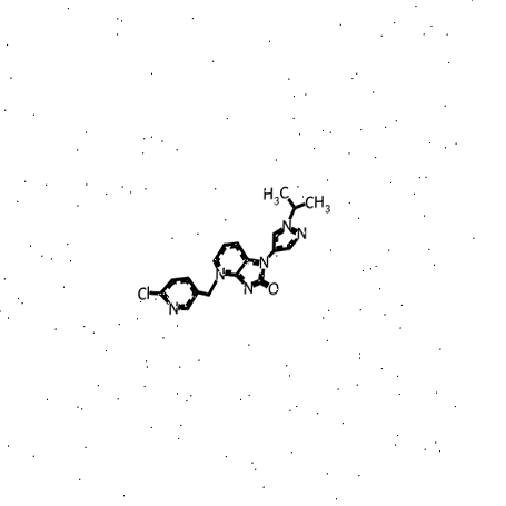 CC(C)n1cc(-n2c3cccn(Cc4ccc(Cl)nc4)c-3nc2=O)cn1